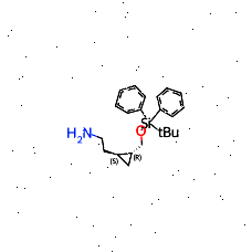 CC(C)(C)[Si](OC[C@@H]1C[C@H]1CCN)(c1ccccc1)c1ccccc1